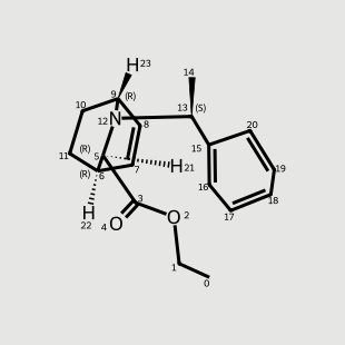 CCOC(=O)[C@H]1[C@H]2C=C[C@@H](CC2)N1[C@@H](C)c1ccccc1